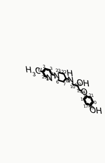 Cc1ccc(N2CCC(NCC(O)COc3ccc(O)cc3)CC2)nc1